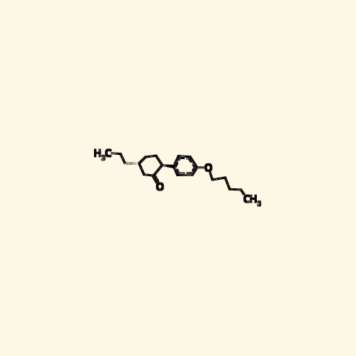 CCCCCOc1ccc([C@@H]2CC[C@@H](CCC)CC2=O)cc1